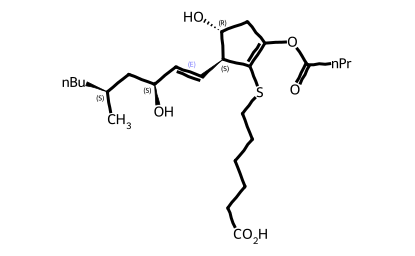 CCCC[C@H](C)C[C@H](O)/C=C/[C@@H]1C(SCCCCCC(=O)O)=C(OC(=O)CCC)C[C@H]1O